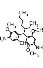 CCCCC(CC)C(c1cc(OC)c(N)cc1C)c1cc(OC)c(N)cc1OC